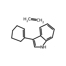 C1=C(c2c[nH]c3ccccc23)CCCC1.C=C